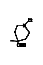 CCN1CCC(C)(C=O)CC1